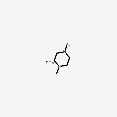 CC(=O)N1CCN(C)[C@H](C)C1